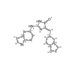 O=C1NC(Nc2ccc3ncsc3c2)=NC1=Cc1ccc2occc2c1